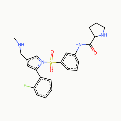 CNCc1cc(-c2ccccc2F)n(S(=O)(=O)c2cccc(NC(=O)C3CCCN3)c2)c1